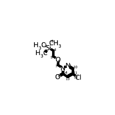 C[Si](C)(C)CCOCn1ncc(Cl)cc1=O